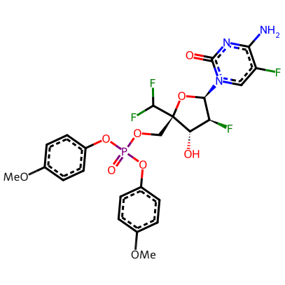 COc1ccc(OP(=O)(OC[C@@]2(C(F)F)O[C@@H](n3cc(F)c(N)nc3=O)[C@@H](F)[C@@H]2O)Oc2ccc(OC)cc2)cc1